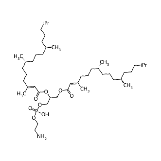 C/C(=C\C(=O)OC[C@@H](COP(=O)(O)OCCN)OC(=O)/C=C(\C)CCC[C@H](C)CCC[C@H](C)CCCC(C)C)CCC[C@H](C)CCC[C@H](C)CCCC(C)C